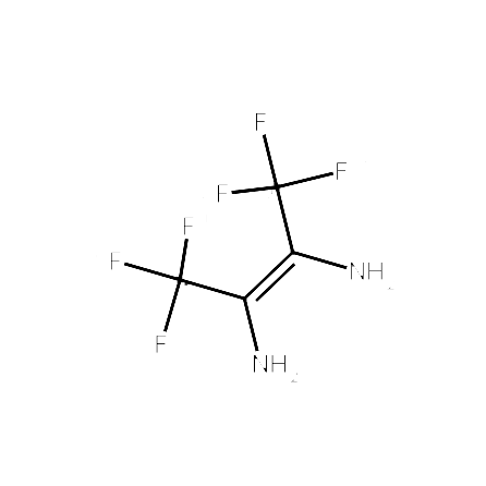 N/C(=C(\N)C(F)(F)F)C(F)(F)F